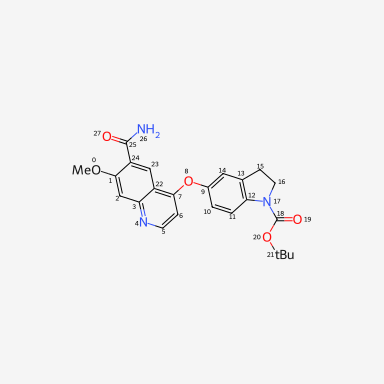 COc1cc2nccc(Oc3ccc4c(c3)CCN4C(=O)OC(C)(C)C)c2cc1C(N)=O